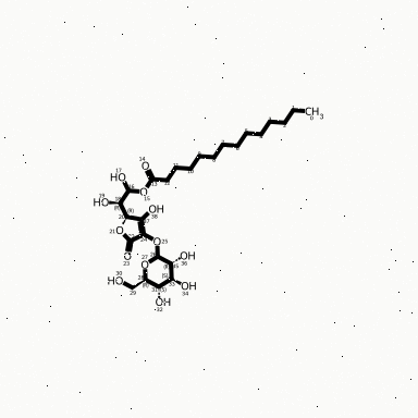 CCCCCCCCCCCCCC(=O)OC(O)[C@H](O)[C@H]1OC(=O)C(OC2O[C@H](CO)[C@@H](O)[C@H](O)[C@H]2O)=C1O